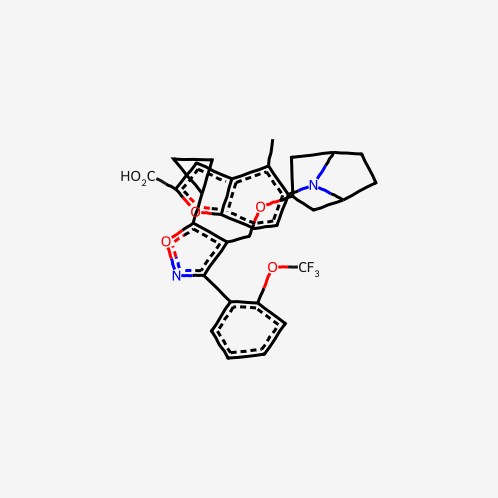 Cc1c(N2C3CCC2CC(OCc2c(-c4ccccc4OC(F)(F)F)noc2C2CC2)C3)ccc2oc(C(=O)O)cc12